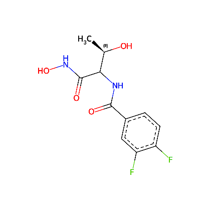 C[C@@H](O)C(NC(=O)c1ccc(F)c(F)c1)C(=O)NO